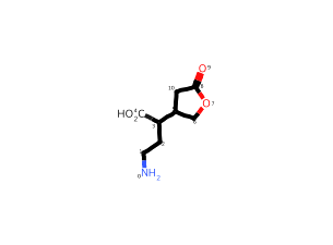 NCCC(C(=O)O)C1COC(=O)C1